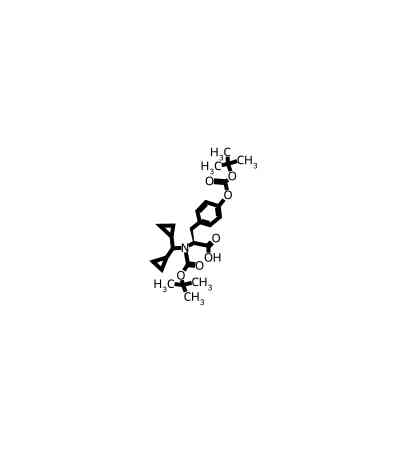 CC(C)(C)OC(=O)Oc1ccc(C[C@@H](C(=O)O)N(C(=O)OC(C)(C)C)C(C2CC2)C2CC2)cc1